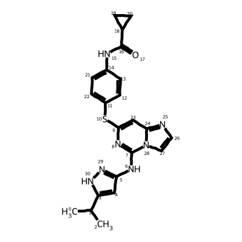 CC(C)c1cc(Nc2nc(Sc3ccc(NC(=O)C4CC4)cc3)cc3nccn23)n[nH]1